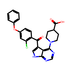 O=C(c1ccc(Oc2ccccc2)cc1Cl)c1c[nH]c2ncnc(N3CCC(C(=O)O)CC3)c12